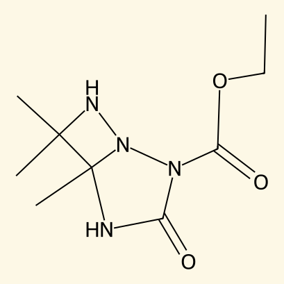 CCOC(=O)N1C(=O)NC2(C)N1NC2(C)C